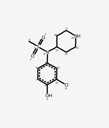 CS(=O)(=O)N(c1ccc(O)c(Cl)c1)C1CCNCC1